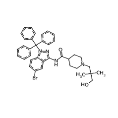 CC(C)(CO)CN1CCC(C(=O)Nc2nn(C(c3ccccc3)(c3ccccc3)c3ccccc3)c3ccc(Br)cc23)CC1